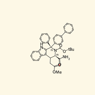 COC(=O)CC1c2c([nH]c3ccccc23)[C@](c2ccccc2)(c2ccc(-c3ccccc3)cc2)N(C(=O)OC(C)(C)C)[C@H]1C(N)=O